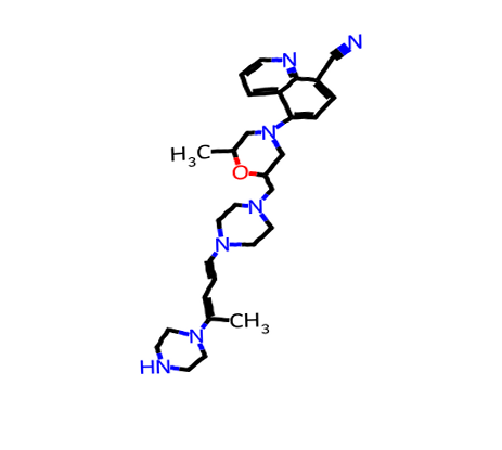 C/C(=C\C=C\N1CCN(CC2CN(c3ccc(C#N)c4ncccc34)CC(C)O2)CC1)N1CCNCC1